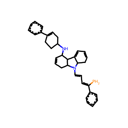 P/C(=C\C=C\N1C2CC=CC=C2C2C(NC3CC=C(c4ccccc4)CC3)C=CCC21)c1ccccc1